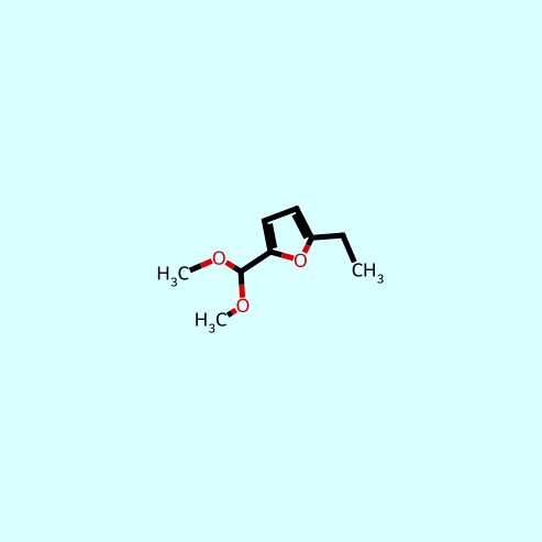 CCc1ccc(C(OC)OC)o1